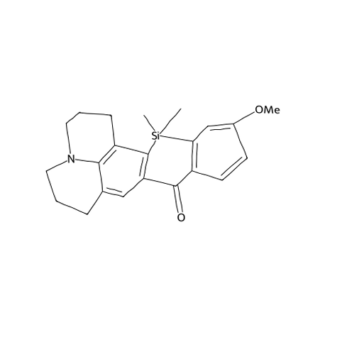 COc1ccc2c(c1)[Si](C)(C)c1c(cc3c4c1CCCN4CCC3)C2=O